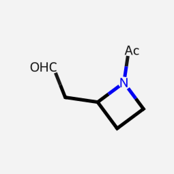 CC(=O)N1CCC1CC=O